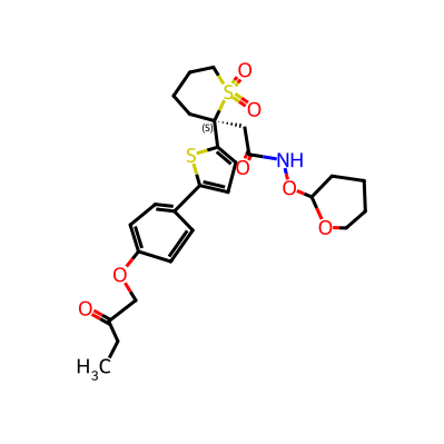 CCC(=O)COc1ccc(-c2ccc([C@@]3(CC(=O)NOC4CCCCO4)CCCCS3(=O)=O)s2)cc1